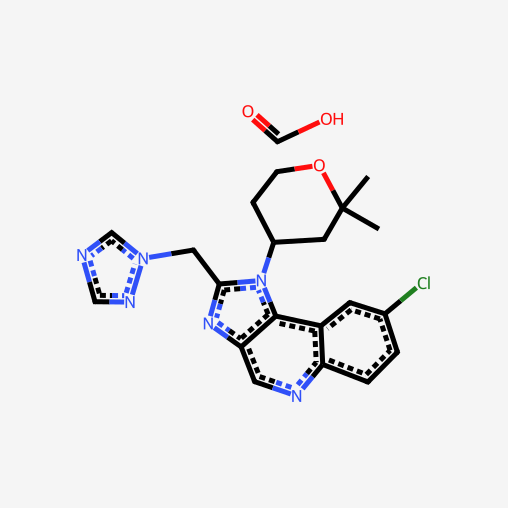 CC1(C)CC(n2c(Cn3cncn3)nc3cnc4ccc(Cl)cc4c32)CCO1.O=CO